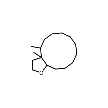 CC1CCCCCCCCCC2OCCC12C